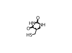 O=c1[nH]cc(CS)c(=O)[nH]1